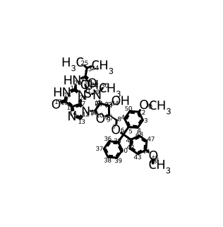 COc1ccc(C(OC[C@H]2O[C@@H](n3cnc4c(=O)[nH]c(NC(=O)C(C)C)nc43)[C@H](N(C)SO)[C@@H]2O)(c2ccccc2)c2ccc(OC)cc2)cc1